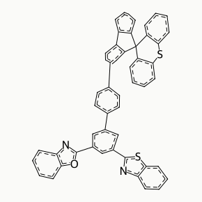 c1ccc2c(c1)Sc1ccccc1C21c2ccccc2-c2ccc(-c3ccc(-c4cc(-c5nc6ccccc6o5)cc(-c5nc6ccccc6s5)c4)cc3)cc21